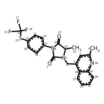 Cc1cc(CN2C(=O)N(c3ccc(SC(F)(F)F)cc3)C(=O)C2C)c2ccccc2n1